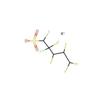 O=S(=O)([O-])C(F)C(F)(F)C(F)C(F)C(F)F.[K+]